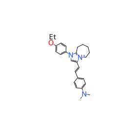 CCOc1ccc(-n2cc(/C=C/c3ccc(N(C)C)cc3)[n+]3c2CCCCC3)cc1